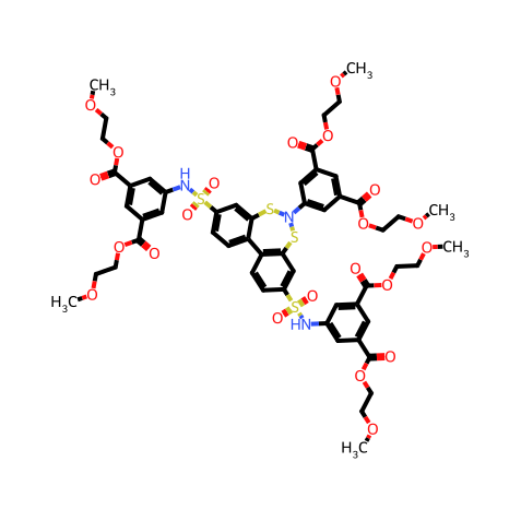 COCCOC(=O)c1cc(NS(=O)(=O)c2ccc3c(c2)sn(-c2cc(C(=O)OCCOC)cc(C(=O)OCCOC)c2)sc2cc(S(=O)(=O)Nc4cc(C(=O)OCCOC)cc(C(=O)OCCOC)c4)ccc23)cc(C(=O)OCCOC)c1